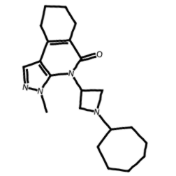 Cn1ncc2c3c(c(=O)n(C4CN(C5CCCCCC5)C4)c21)CCCC3